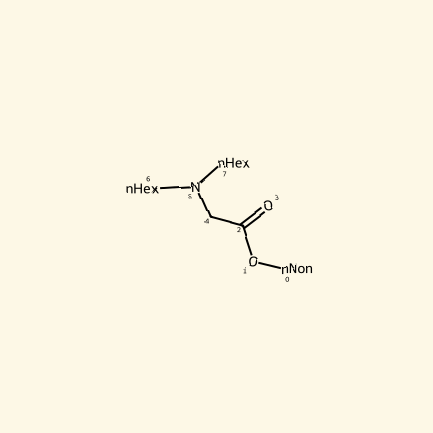 CCCCCCCCCOC(=O)CN(CCCCCC)CCCCCC